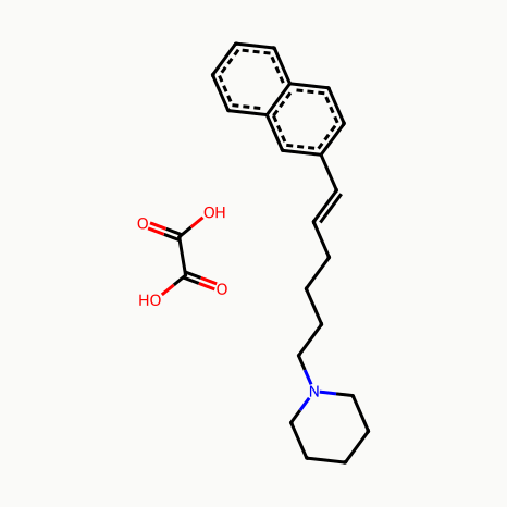 C(=Cc1ccc2ccccc2c1)CCCCN1CCCCC1.O=C(O)C(=O)O